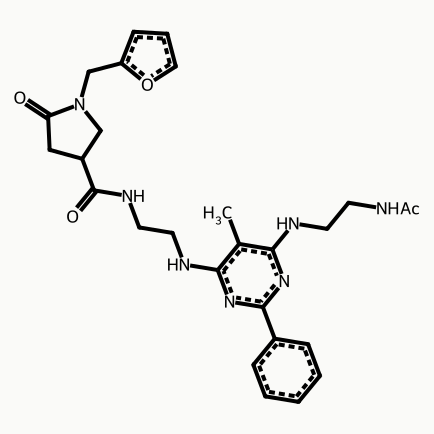 CC(=O)NCCNc1nc(-c2ccccc2)nc(NCCNC(=O)C2CC(=O)N(Cc3ccco3)C2)c1C